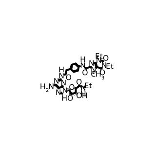 CCNC(=O)C1O[C@@H](n2cnc3c(N)nc(NC(=O)Cc4ccc(NC(=O)c5nc6c(c(=O)n(CC)c(=O)n6CC)n5C)cc4)nc32)[C@H](O)[C@@H]1O